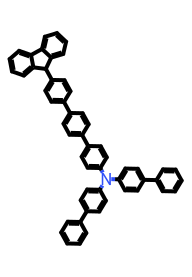 c1ccc(-c2ccc(N(c3ccc(-c4ccccc4)cc3)c3ccc(-c4ccc(-c5ccc(C6c7ccccc7-c7ccccc76)cc5)cc4)cc3)cc2)cc1